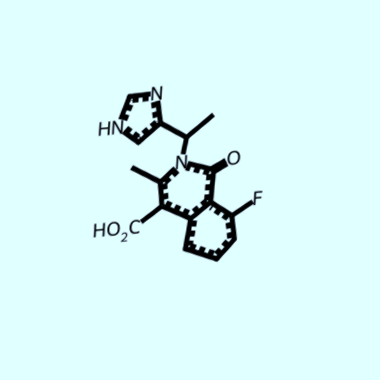 Cc1c(C(=O)O)c2cccc(F)c2c(=O)n1C(C)c1c[nH]cn1